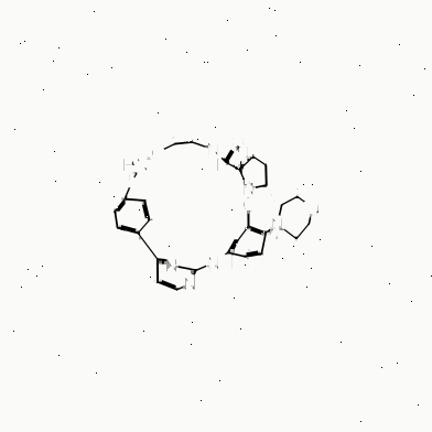 O=C1NCCCNCc2ccc(cc2)-c2ccnc(n2)Nc2ccc(N3CCOCC3)c(c2)CN2CCC[C@@H]12